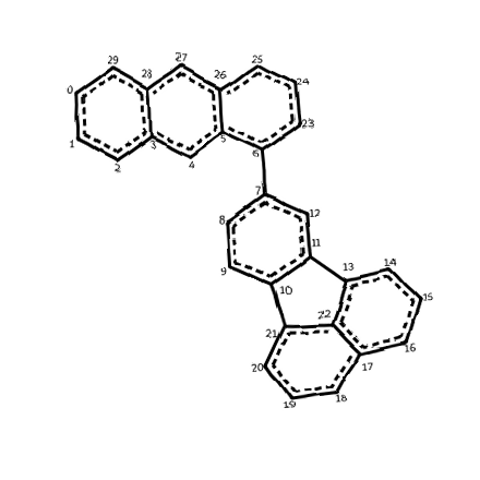 c1ccc2cc3c(-c4ccc5c(c4)-c4cccc6cccc-5c46)cccc3cc2c1